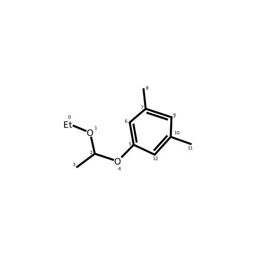 CCOC(C)Oc1cc(C)[c]c(C)c1